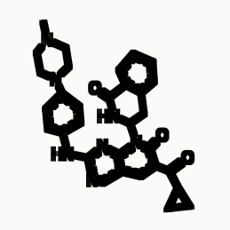 CN1CCN(c2ccc(Nc3ncc4cc(C(=O)C5CC5)c(=O)n(C5Cc6ccccc6C(=O)N5)c4n3)cc2)CC1